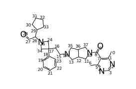 Cc1ncnc(C)c1C(=O)N1CC2CN(CCC3(c4ccccc4)CN(C(C=O)C4CCCC4)C3)CC2C1